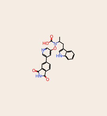 CC(Cc1c[nH]c2ccccc12)N(Oc1cncc(-c2ccc3c(c2)C(=O)NC3=O)c1)C(=O)O